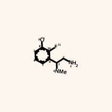 CNC(CN)c1cccc(Cl)c1F